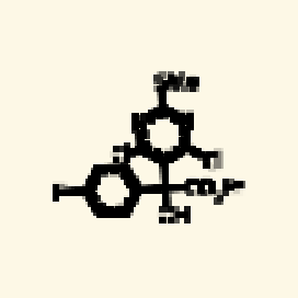 CCOC(=O)C(O)(c1ccc(F)cc1)c1c(Cl)nc(SC)nc1Cl